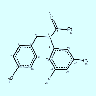 CCC(=O)N(Cc1ccc(O)cc1)c1cc(F)cc(C#N)c1